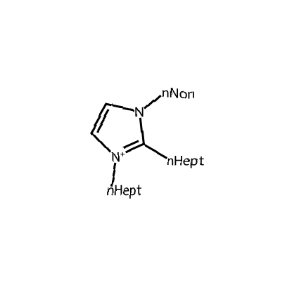 CCCCCCCCCn1cc[n+](CCCCCCC)c1CCCCCCC